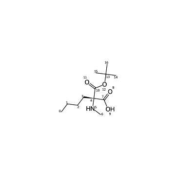 CCCC[C@](NC)(C(=O)O)C(=O)OC(C)(C)C